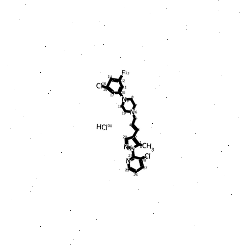 Cc1c(C=CCN2CCN(c3cc(F)cc(Cl)c3)CC2)cnn1-c1ncccc1Cl.Cl